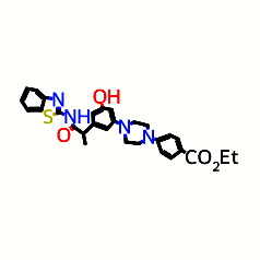 CCOC(=O)c1ccc(N2CCN(c3cc(O)cc(C(C)C(=O)Nc4nc5ccccc5s4)c3)CC2)cc1